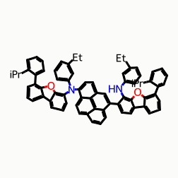 CCc1cccc(Nc2c(-c3cc4ccc(N(c5cccc(CC)c5)c5cccc6c5oc5c(-c7ccccc7C(C)C)cccc56)c5ccc6cccc3c6c45)ccc3c2oc2c(-c4ccccc4C(C)C)cccc23)c1